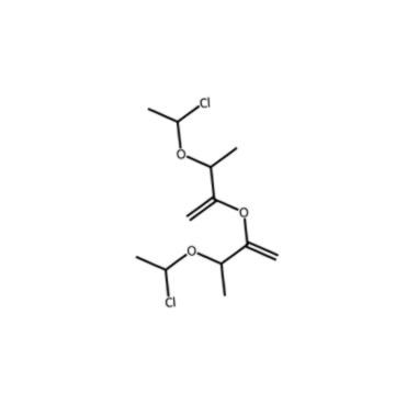 C=C(OC(=C)C(C)OC(C)Cl)C(C)OC(C)Cl